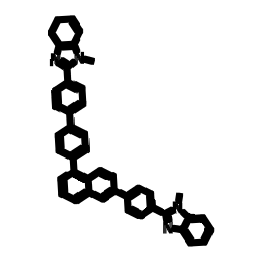 Cn1c(-c2ccc(-c3ccc(-c4cccc5cc(-c6ccc(-c7nc8ccccc8n7C)cc6)ccc45)cc3)cc2)nc2c1C=CCC2